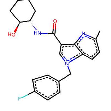 Cc1ccc2c(n1)c(C(=O)N[C@H]1CCCC[C@@H]1O)cn2Cc1ccc(F)cc1